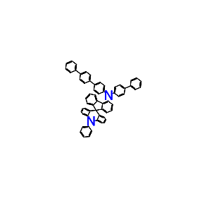 c1ccc(-c2ccc(-c3ccc(N(c4ccc(-c5ccccc5)cc4)c4cccc5c4-c4ccccc4C54c5ccccc5N(c5ccccc5)c5ccccc54)cc3)cc2)cc1